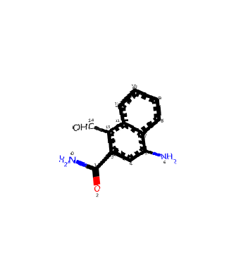 NC(=O)c1cc(N)c2ccccc2c1C=O